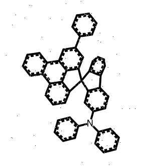 c1ccc(-c2cc3c4c(c2)c2ccccc2c2cccc(c24)C32c3ccccc3-c3ccc(N(c4ccccc4)c4ccccc4)cc32)cc1